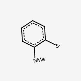 CNc1ccccc1[S]